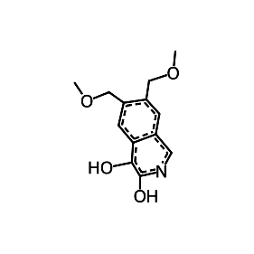 COCc1cc2cnc(O)c(O)c2cc1COC